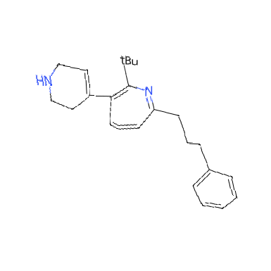 CC(C)(C)c1nc(CCCc2ccccc2)ccc1C1=CCNCC1